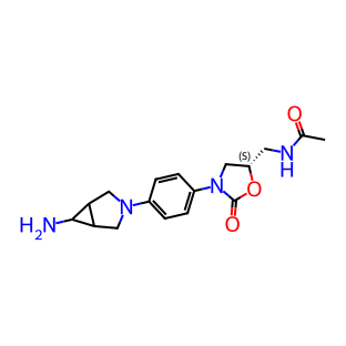 CC(=O)NC[C@H]1CN(c2ccc(N3CC4C(N)C4C3)cc2)C(=O)O1